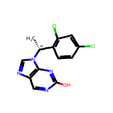 C[C@H](c1ccc(Cl)cc1Cl)n1cnc2cnc(O)nc21